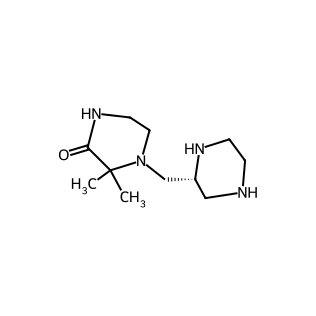 CC1(C)C(=O)NCCN1C[C@H]1CNCCN1